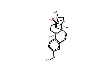 COc1ccc2c(c1)C=C[C@]1(C=C(F)F)[C@@H]2CC[C@]2(C)[C@@H](O)CC[C@@H]12